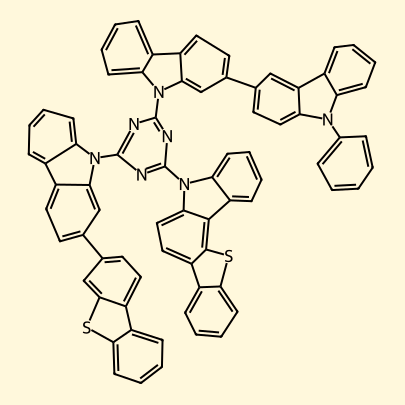 c1ccc(-n2c3ccccc3c3cc(-c4ccc5c6ccccc6n(-c6nc(-n7c8ccccc8c8ccc(-c9ccc%10c(c9)sc9ccccc9%10)cc87)nc(-n7c8ccccc8c8c9sc%10ccccc%10c9ccc87)n6)c5c4)ccc32)cc1